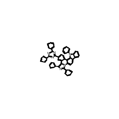 c1ccc(-c2nc(-c3ccccc3)nc(-c3ccc4c(c3)c3c(-c5ccccc5)nc(-c5ccccc5)n3c3ccc5c6ccccc6n(-c6ccccc6)c5c43)n2)cc1